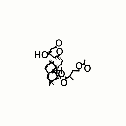 CC(=O)OCCC(C)C(=O)O[C@H]1C[C@@H](C)C=C2C=C[C@H](C)[C@H](CC[C@@H]3C[C@@H](O)CC(=O)O3)[C@H]21